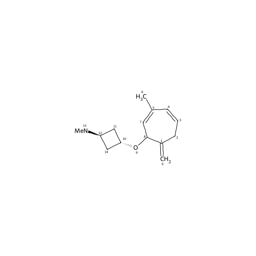 C=C1CC=CC(C)=CC1O[C@H]1C[C@H](NC)C1